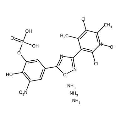 Cc1c(Cl)c(C)[n+]([O-])c(Cl)c1-c1noc(-c2cc(OP(=O)(O)O)c(O)c([N+](=O)[O-])c2)n1.N.N.N